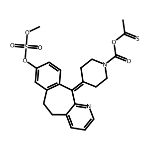 COS(=O)(=O)Oc1ccc2c(c1)CCc1cccnc1C2=C1CCN(C(=O)OC(C)=S)CC1